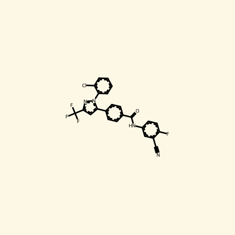 N#Cc1cc(NC(=O)c2ccc(-c3cc(C(F)(F)F)nn3-c3ccccc3Cl)cc2)ccc1F